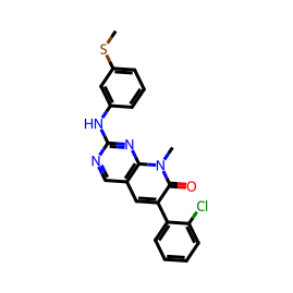 CSc1cccc(Nc2ncc3cc(-c4ccccc4Cl)c(=O)n(C)c3n2)c1